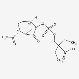 CCC(CC)(COS(=O)(=O)ON1C(=O)N2C[C@H]1CC[C@H]2C(N)=O)C(=O)O